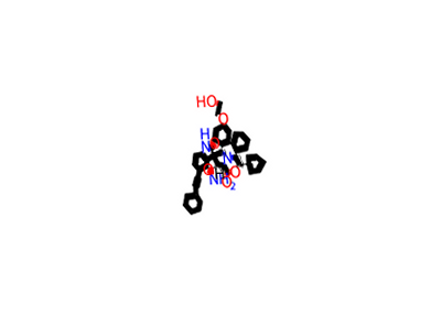 NC(=O)[C@H]1[C@@H]2C(=O)O[C@@H](c3ccccc3)[C@@H](c3ccccc3)N2[C@@H](c2ccc(OCCO)cc2)[C@]12C(=O)Nc1ccc(C#CC3=CCCCC3)cc12